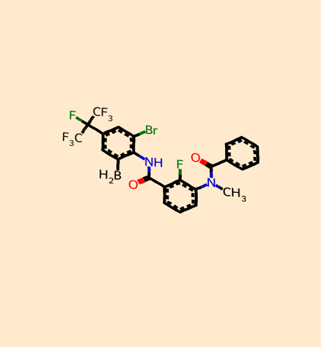 Bc1cc(C(F)(C(F)(F)F)C(F)(F)F)cc(Br)c1NC(=O)c1cccc(N(C)C(=O)c2ccccc2)c1F